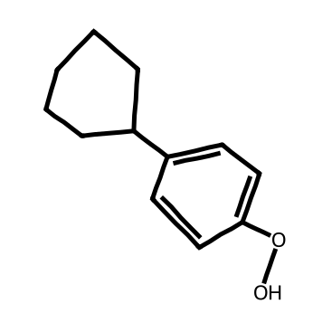 OOc1ccc(C2CCCCC2)cc1